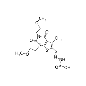 COCCn1c(=O)c2c(C)c(C=NNC(=O)O)sc2n(CCOC)c1=O